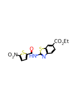 CCOC(=O)c1ccc2nc(NC(=O)c3ccc([N+](=O)[O-])s3)sc2c1